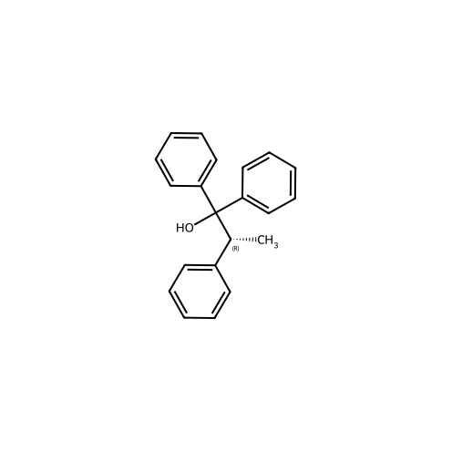 C[C@H](c1ccccc1)C(O)(c1ccccc1)c1ccccc1